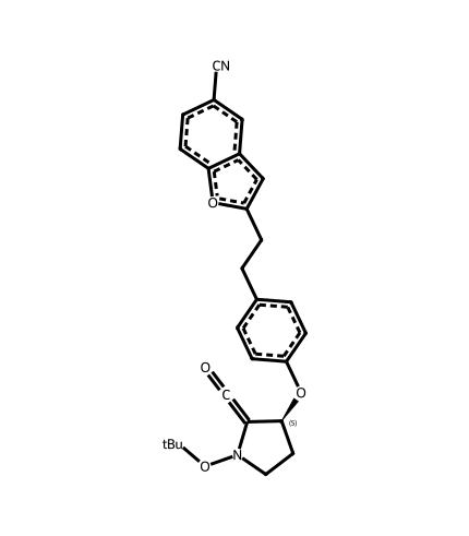 CC(C)(C)ON1CC[C@H](Oc2ccc(CCc3cc4cc(C#N)ccc4o3)cc2)C1=C=O